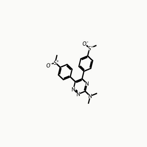 CN(C)c1nnc(-c2ccc([S+](C)[O-])cc2)c(-c2ccc([S+](C)[O-])cc2)n1